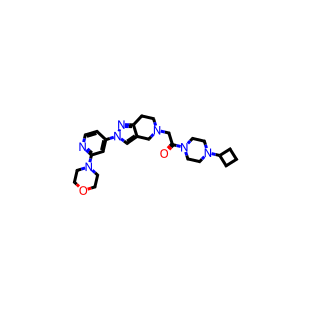 O=C(CN1CCc2nn(-c3ccnc(N4CCOCC4)c3)cc2C1)N1CCN(C2CCC2)CC1